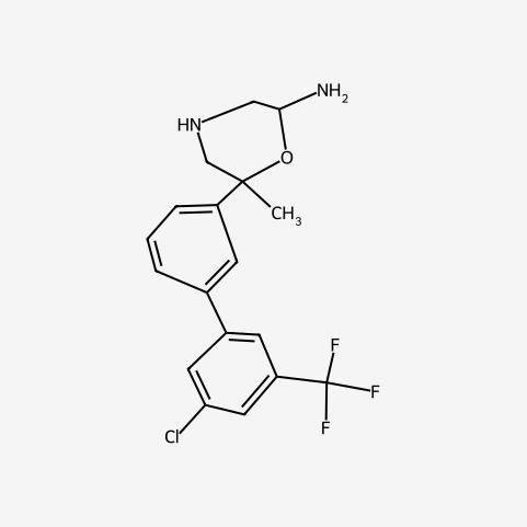 CC1(c2cccc(-c3cc(Cl)cc(C(F)(F)F)c3)c2)CNCC(N)O1